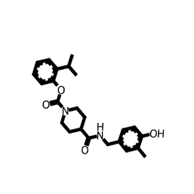 Cc1cc(CNC(=O)C2CCN(C(=O)Oc3ccccc3C(C)C)CC2)ccc1O